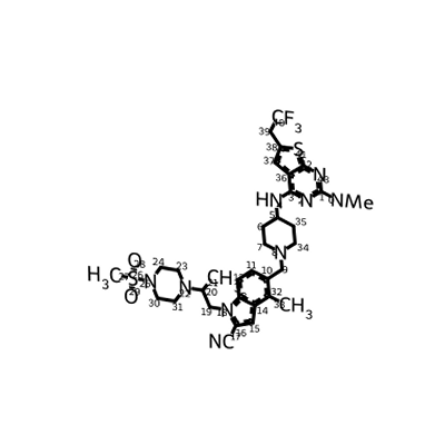 CNc1nc(NC2CCN(Cc3ccc4c(cc(C#N)n4CC(C)N4CCN(S(C)(=O)=O)CC4)c3C)CC2)c2cc(CC(F)(F)F)sc2n1